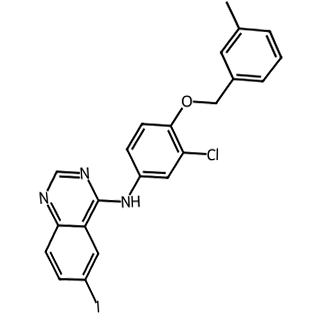 Cc1cccc(COc2ccc(Nc3ncnc4ccc(I)cc34)cc2Cl)c1